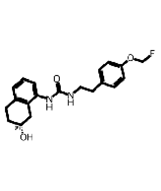 O=C(NCCc1ccc(OCF)cc1)Nc1cccc2c1C[C@H](O)CC2